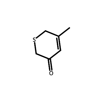 CC1=CC(=O)CSC1